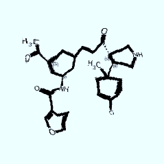 CC(=O)[C@H]1CC(CCC(=O)[C@@H]2CNC[C@H]2C2(C)C=CC(Cl)=CC2)C[C@@H](NC(=O)c2ccoc2)C1